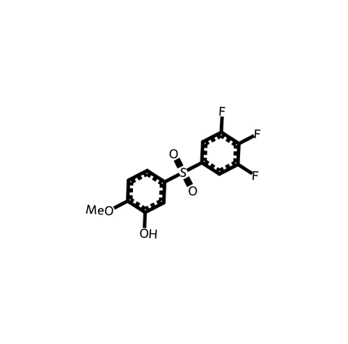 COc1ccc(S(=O)(=O)c2cc(F)c(F)c(F)c2)cc1O